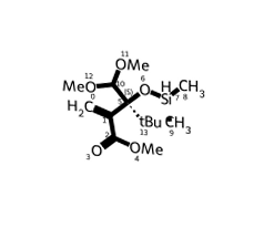 C=C(C(=O)OC)[C@](O[SiH](C)C)(C(OC)OC)C(C)(C)C